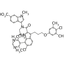 Cc1cc(OCCCc2c3n(c4c(-c5c(C)ncnc5C)c(Cl)ccc24)[C@H](C)CN(c2cn(C)c4cc(C(=O)O)ccc24)C3=O)cc(C)c1Cl